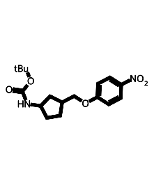 CC(C)(C)OC(=O)NC1CCC(COc2ccc([N+](=O)[O-])cc2)C1